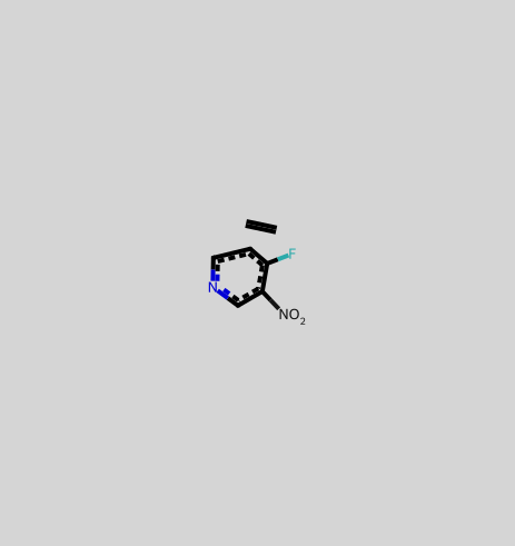 C=C.O=[N+]([O-])c1cnccc1F